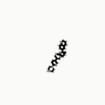 C1=C(c2ccc(N3CCNCC3)nc2)CN2C3=CN(C2=N1)C1(c2ccc4ncccc4c2)CC31